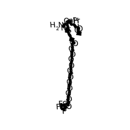 CCCN(CCCNC(=O)OC1CCC1)C(=O)C1=Cc2sc(C#CC3CN(C(=O)CCOCCOCCOCCOCCOCCOCCOCCOCCOCCOCCC(=O)Oc4c(F)c(F)cc(F)c4F)C3)cc2N=C(N)C1